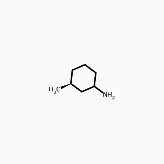 C[C@H]1CCCC(N)C1